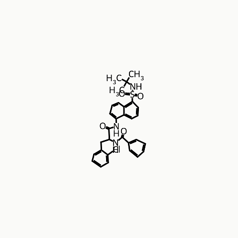 CC(C)(C)NS(=O)(=O)c1cccc2c(NC(=O)C(Cc3ccccc3Cl)NC(=O)c3ccccc3)cccc12